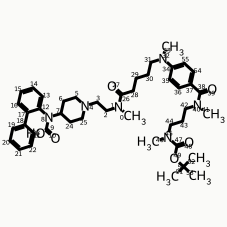 CN(CCN1CCC(N(C(=O)O)c2ccccc2-c2ccccc2)CC1)C(=O)CCCCN(C)c1ccc(C(=O)N(C)CCCN(C)C(=O)OC(C)(C)C)cc1